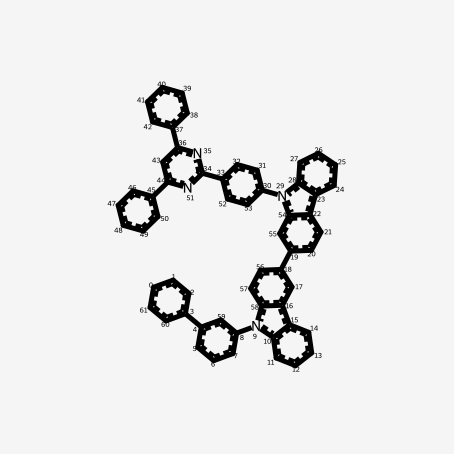 c1ccc(-c2cccc(-n3c4ccccc4c4cc(-c5ccc6c7ccccc7n(-c7ccc(-c8nc(-c9ccccc9)cc(-c9ccccc9)n8)cc7)c6c5)ccc43)c2)cc1